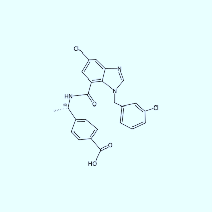 C[C@H](NC(=O)c1cc(Cl)cc2ncn(Cc3cccc(Cl)c3)c12)c1ccc(C(=O)O)cc1